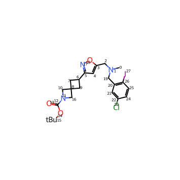 CN(Cc1cc(C2CC3(C2)CN(C(=O)OC(C)(C)C)C3)no1)Cc1cc(Cl)ccc1I